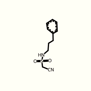 N#CCS(=O)(=O)NCCCc1ccccc1